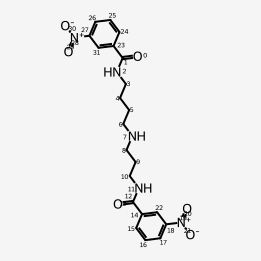 O=C(NCCCCNCCCNC(=O)c1cccc([N+](=O)[O-])c1)c1cccc([N+](=O)[O-])c1